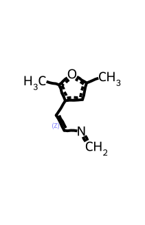 C=N/C=C\c1cc(C)oc1C